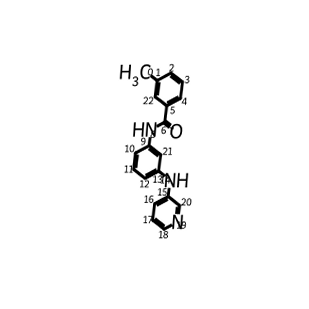 Cc1cccc(C(=O)Nc2cccc(Nc3cccnc3)c2)c1